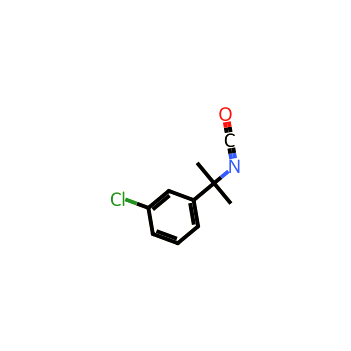 CC(C)(N=C=O)c1cccc(Cl)c1